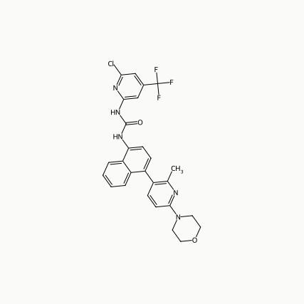 Cc1nc(N2CCOCC2)ccc1-c1ccc(NC(=O)Nc2cc(C(F)(F)F)cc(Cl)n2)c2ccccc12